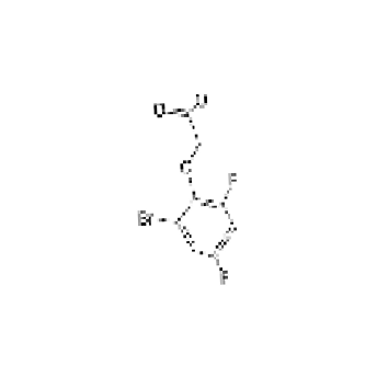 O=C(O)COc1c(F)cc(F)cc1Br